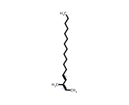 C/[C]=C(C)\C=C\CCCCCCCCCCCC